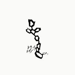 CC1CC=CC2=C1c1ccc(C3=CCC(c4c5ccccc5c(-c5ccccc5)c5ncccc45)C=C3)cc1C2(C)C